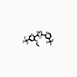 CCSc1cc(C(F)(F)F)cnc1-c1nnc(-c2cc(C(F)(F)F)ccn2)o1